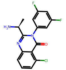 C[C@H](N)c1nc2cccc(Cl)c2c(=O)n1-c1cc(F)cc(F)c1